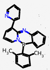 Cc1cccc(C)c1B1c2ccccc2N=C2C(c3ccccn3)=CC=CN12